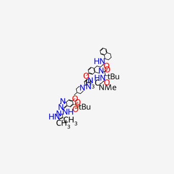 CNC(C)C(=O)NC(C(=O)N1Cc2cc(Oc3cc(N4CCC(COc5cc6ncnc(Nc7n[nH]c(C)c7C)c6cc5S(=O)(=O)C(C)(C)C)CC4)ncn3)ccc2CC1C(=O)N[C@@H]1CCCc2ccccc21)C(C)(C)C